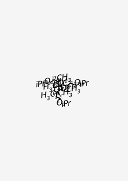 CC(C)OCCC(C)(C)OB(OC(C)(C)CCOC(C)C)OC(C)(C)CCOC(C)C